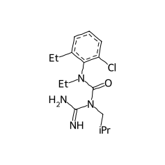 CCc1cccc(Cl)c1N(CC)C(=O)N(CC(C)C)C(=N)N